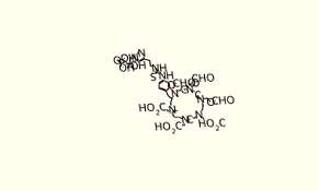 CC(O)(Cn1cnc(CCNC(=S)Nc2ccc(CC3CN(CC(=O)O)CCN(CC(=O)O)CCN(CC(=O)O)CCN(COC=O)CCN(COC=O)CCN3COC=O)cc2)c1)P(=O)(O)O